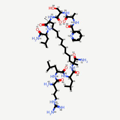 CC(C)CC(NC(=O)[C@](C)(CCCCCCCCCCC(C)(NC(=O)C(CC(C)C)NC(=O)C(CC(C)C)NC(=O)C(N)CCCNC(=N)N)C(N)=O)NC(=O)C(CO)NC(=O)C(C)NC(=O)c1ccccn1)C(N)=O